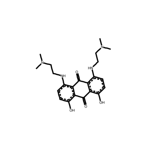 CN(C)CCNc1ccc(O)c2c1C(=O)c1c(NCCN(C)C)ccc(O)c1C2=O